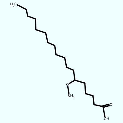 CCCCCCCCCCCCC(CCCCC(=O)O)OC